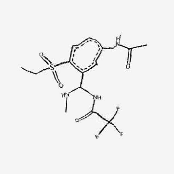 CCS(=O)(=O)c1ccc(NC(C)=O)cc1C(NC)NC(=O)C(F)(F)F